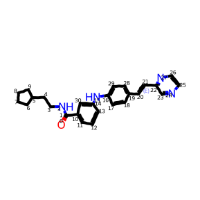 O=C(NCCC1CCCC1)c1cccc(Nc2ccc(/C=C/c3cnccn3)cc2)c1